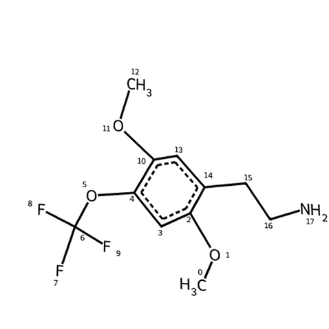 COc1cc(OC(F)(F)F)c(OC)cc1CCN